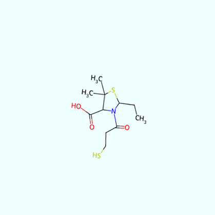 CCC1SC(C)(C)C(C(=O)O)N1C(=O)CCS